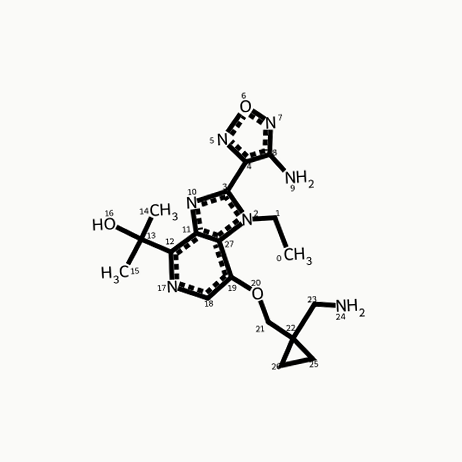 CCn1c(-c2nonc2N)nc2c(C(C)(C)O)ncc(OCC3(CN)CC3)c21